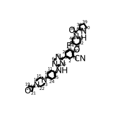 N#Cc1cc(-c2ncnc(Nc3ccc(N4CCN(C5COC5)CC4)cc3)n2)ccc1O[C@H]1CCN(C(=O)[C@H]2CCCN2)C[C@H]1F